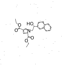 CCOC(=O)c1cc(C(=O)OCC)n(CC(O)c2ccc3ccccc3c2)c1